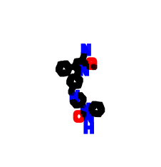 COc1nc(-c2ccc(CN3CCC(n4c(=O)[nH]c5ccccc54)CC3)cc2)c(-c2ccccc2)cc1C#N